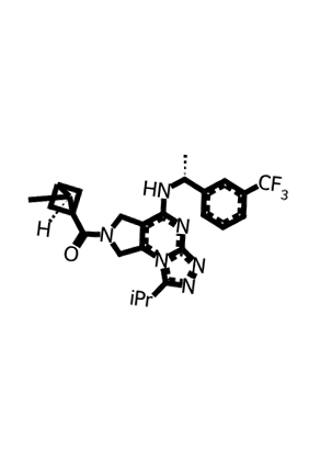 CC(C)c1nnc2nc(N[C@H](C)c3cccc(C(F)(F)F)c3)c3c(n12)CN(C(=O)C12CC(C1)[C@@H]2C)C3